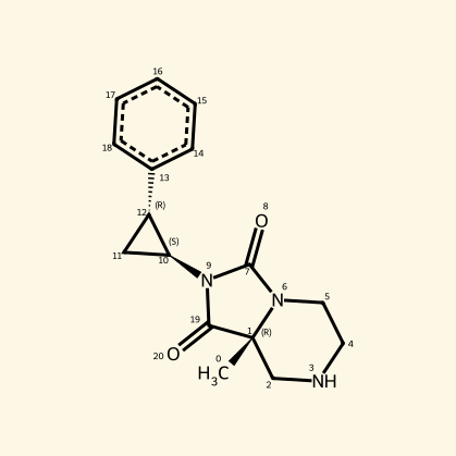 C[C@]12CNCCN1C(=O)N([C@H]1C[C@@H]1c1ccccc1)C2=O